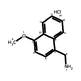 COc1ccc(CN)c2ccccc12.Cl